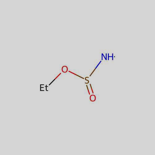 CCOS([NH])=O